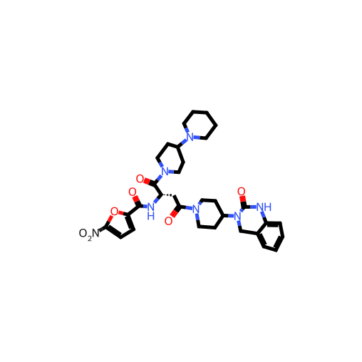 O=C(N[C@@H](CC(=O)N1CCC(N2Cc3ccccc3NC2=O)CC1)C(=O)N1CCC(N2CCCCC2)CC1)c1ccc([N+](=O)[O-])o1